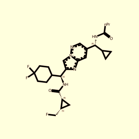 CCCC(=O)N[C@@H](c1cnn2cc([C@@H](NC(=O)[C@@H]3C[C@@H]3CF)C3CCC(F)(F)CC3)nc2c1)C1CC1